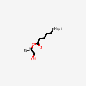 CCCCCCCCCCCC(=O)O[C@H](CC)CO